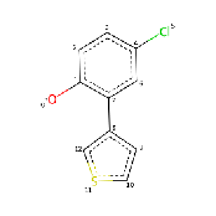 [O]c1ccc(Cl)cc1-c1ccsc1